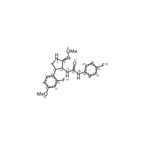 CO/N=C1\NCC(c2ccc(OC)cc2F)C1NC(=O)Nc1ccc(F)cc1